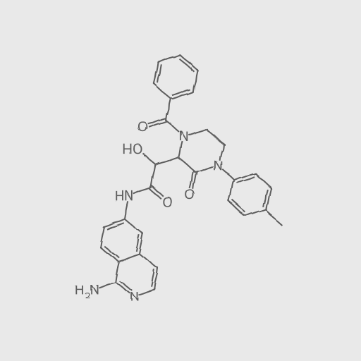 Cc1ccc(N2CCN(C(=O)c3ccccc3)C(C(O)C(=O)Nc3ccc4c(N)nccc4c3)C2=O)cc1